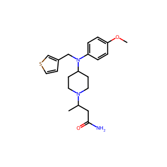 COc1ccc(N(Cc2ccsc2)C2CCN(C(C)CC(N)=O)CC2)cc1